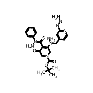 CC(C)(C)OC(=O)N1CC(=O)C(C(=S)N(N)c2ccccc2)=C(N(N)Cc2ccnc(N=NN)c2)C1